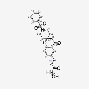 O=C(/C=C/c1ccc2c(c1)C(=O)CC1(CCN(S(=O)(=O)c3ccccc3)CC1)O2)NO